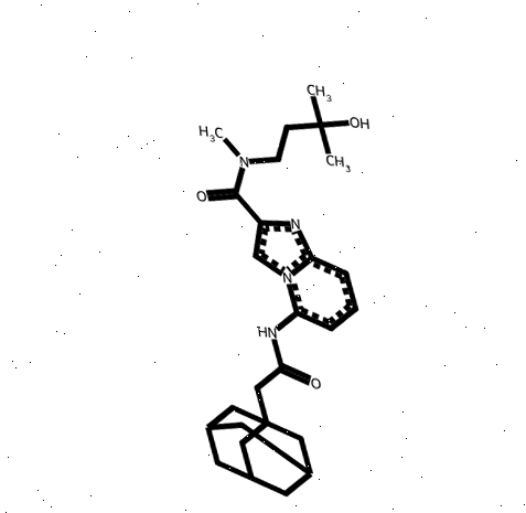 CN(CCC(C)(C)O)C(=O)c1cn2c(NC(=O)CC34CC5CC(CC(C5)C3)C4)cccc2n1